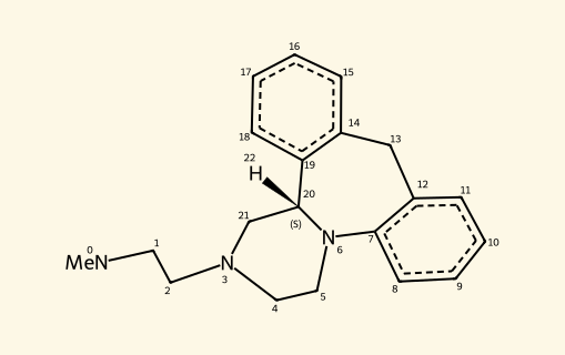 CNCCN1CCN2c3ccccc3Cc3ccccc3[C@H]2C1